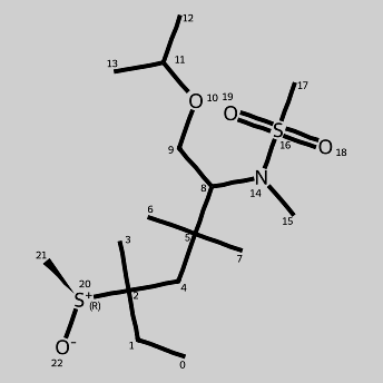 CCC(C)(CC(C)(C)C(COC(C)C)N(C)S(C)(=O)=O)[S@+](C)[O-]